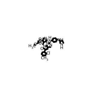 COCCS(=O)(=O)c1cnncc1Cn1c(=O)c(-c2ccc(C)cc2Cl)cc2cnc(Nc3ccc(NC4CCNC4)cc3)nc21